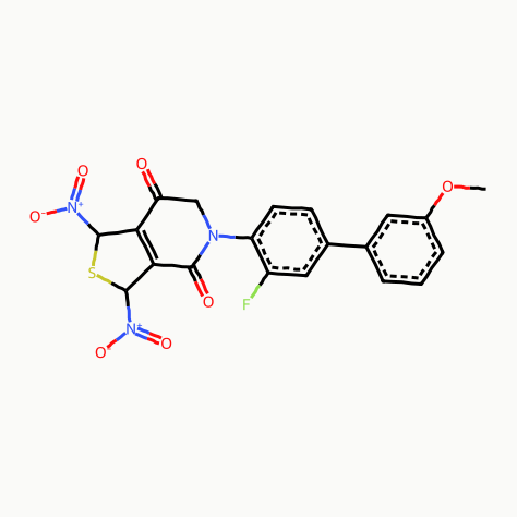 COc1cccc(-c2ccc(N3CC(=O)C4=C(C3=O)C([N+](=O)[O-])SC4[N+](=O)[O-])c(F)c2)c1